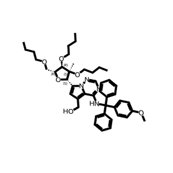 CCCCOC[C@H]1O[C@@H](c2cc(CO)c3c(NC(c4ccccc4)(c4ccccc4)c4ccc(OC)cc4)ncnn23)[C@](C)(OCCCC)[C@@H]1OCCCC